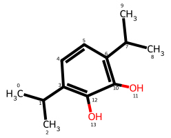 CC(C)c1ccc(C(C)C)c(O)c1O